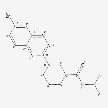 CC(C)OC(=O)C1CCCN(c2nnc3cc(Br)ccc3n2)C1